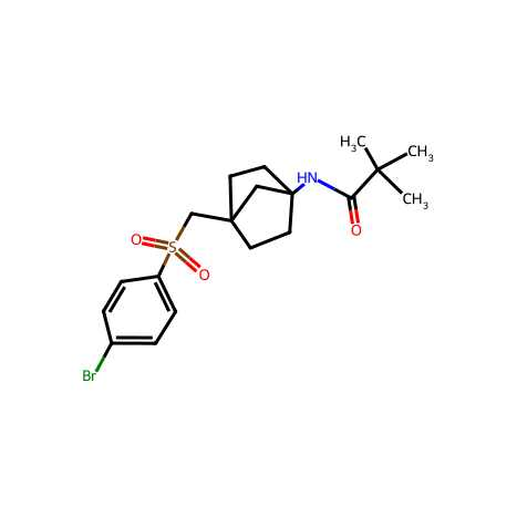 CC(C)(C)C(=O)NC12CCC(CS(=O)(=O)c3ccc(Br)cc3)(CC1)C2